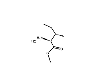 CC[C@H](C)[C@H](N)C(=O)OC.Cl